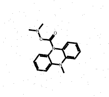 CN(C)OC(=O)N1c2ccccc2N(C)c2ccccc21